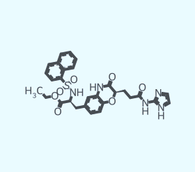 CCOC(=O)[C@H](Cc1ccc2c(c1)NC(=O)[C@@H](CCC(=O)Nc1ncc[nH]1)O2)NS(=O)(=O)c1cccc2ccccc12